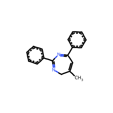 CC1=CC(c2ccccc2)=NC(c2ccccc2)=NC1